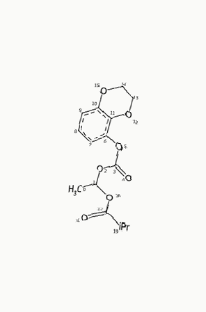 CC(OC(=O)Oc1cccc2c1OCCO2)OC(=O)C(C)C